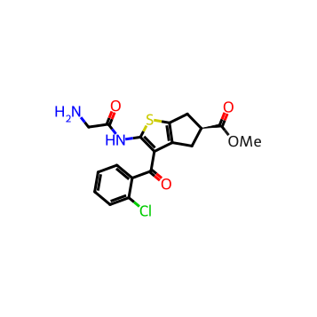 COC(=O)[C@@H]1Cc2sc(NC(=O)CN)c(C(=O)c3ccccc3Cl)c2C1